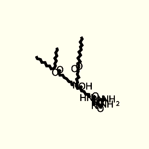 CCCCCCCCCCCOC(=O)CCCCCN(CCCCCCCC(=O)OC(CCCCCCCC)CCCCCCCC)CC(O)CCCCNC(=O)n1cnc2c(=O)[nH]c(N)nc21